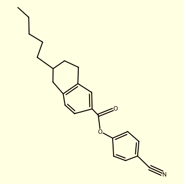 CCCCCC1CCc2cc(C(=O)Oc3ccc(C#N)cc3)ccc2C1